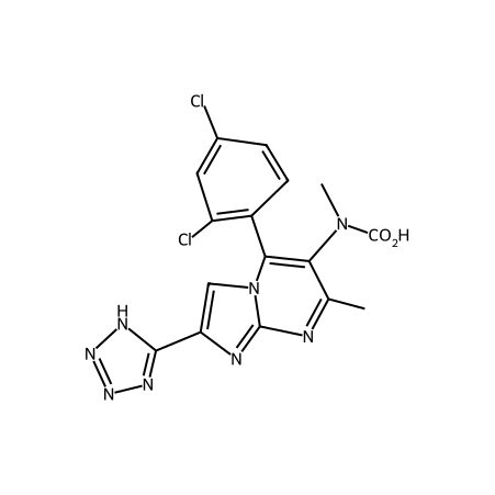 Cc1nc2nc(-c3nnn[nH]3)cn2c(-c2ccc(Cl)cc2Cl)c1N(C)C(=O)O